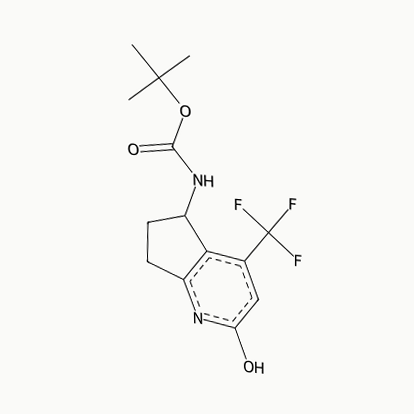 CC(C)(C)OC(=O)NC1CCc2nc(O)cc(C(F)(F)F)c21